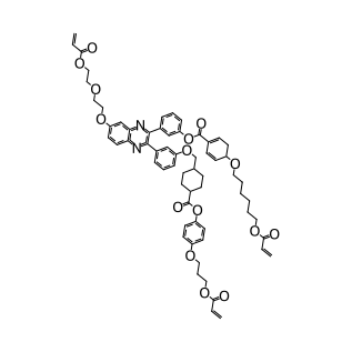 C=CC(=O)OCCCCCCOC1C=CC(C(=O)Oc2cccc(-c3nc4cc(OCCOCCOC(=O)C=C)ccc4nc3-c3cccc(OCC4CCC(C(=O)Oc5ccc(OCCCOC(=O)C=C)cc5)CC4)c3)c2)=CC1